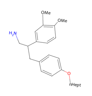 CCCCCCCOc1ccc(CC(CN)c2ccc(OC)c(OC)c2)cc1